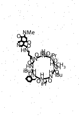 CC[C@@H](C)[C@H]1NC(=O)[C@H](C(C)C)NC(=O)[C@@H](C)NC(=O)[C@H]([C@@H](C)CC)NC(=O)[C@@H](CC(C)C)NC(=O)[C@@H](Cc2ccccc2)NC(=O)[C@H]([C@@H](C)CC)NC(=O)[C@H](CCCCNC(=O)c2cncc3c2C(=O)C=C(NC)C3=O)NC1=O